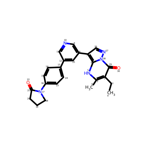 CCc1c(C)[nH]c2c(-c3cncc(-c4ccc(N5CCCC5=O)cc4)c3)cnn2c1=O